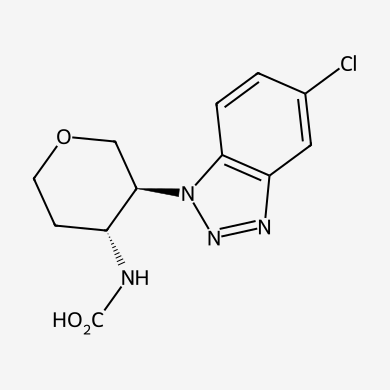 O=C(O)N[C@@H]1CCOC[C@H]1n1nnc2cc(Cl)ccc21